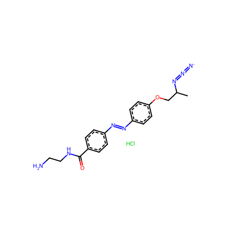 CC(COc1ccc(N=Nc2ccc(C(=O)NCCN)cc2)cc1)N=[N+]=[N-].Cl